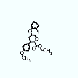 CCOC(=O)CC(CC(C=O)Oc1ccccc1I)c1ccc(OC)cc1